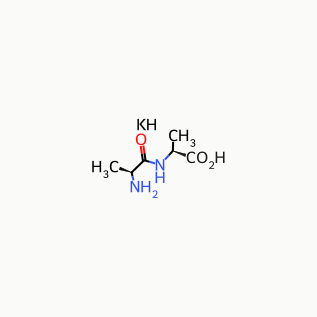 C[C@H](N)C(=O)N[C@@H](C)C(=O)O.[KH]